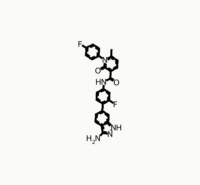 Cc1ccc(C(=O)Nc2ccc(-c3ccc4c(N)n[nH]c4c3)c(F)c2)c(=O)n1-c1ccc(F)cc1